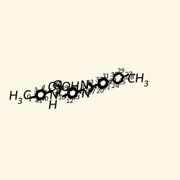 CCc1ccc(C(=O)N[C@@H](Cc2ccc(-c3ncc(-c4ccc([C@H]5CC[C@H](CC)CC5)cc4)cn3)cc2)C(=O)O)cc1